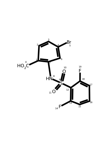 O=C(O)c1ccc(Br)cc1NS(=O)(=O)c1c(F)cccc1F